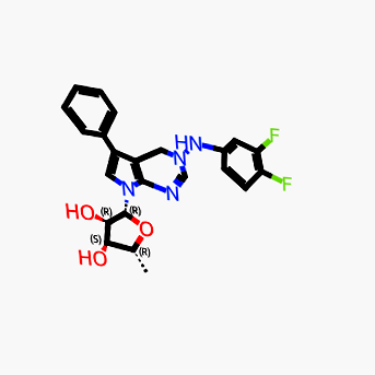 C[C@H]1O[C@@H](n2cc(-c3ccccc3)c3c2N=CN(Nc2ccc(F)c(F)c2)C3)[C@H](O)[C@@H]1O